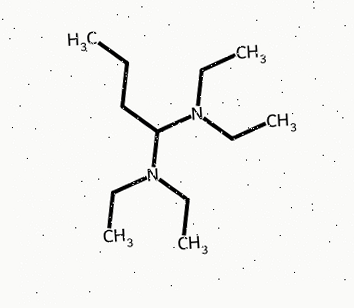 CCC[C](N(CC)CC)N(CC)CC